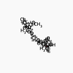 COc1ccc2c(c1)c(CC(=O)OCC1CCC(COC(=O)Oc3ccc4c5c3O[C@H]3C(=O)CC[C@@]6(O)C(C4)[N+](C)(CC4CC4)CCC536)CC1)c(C)n2C(=O)c1ccc(Cl)cc1